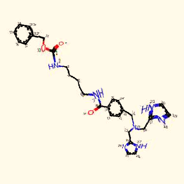 O=C(NCCCCNC(=O)c1ccc(CN(Cc2ncc[nH]2)Cc2ncc[nH]2)cc1)OCc1ccccc1